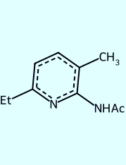 CCc1ccc(C)c(NC(C)=O)n1